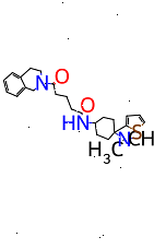 CN(C)C1(c2cccs2)CCC(NC(=O)CCCC(=O)N2CCc3ccccc3C2)CC1